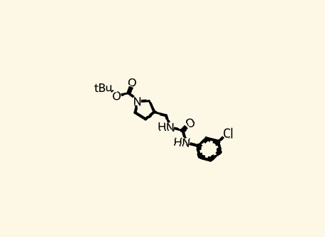 CC(C)(C)OC(=O)N1CCC(CNC(=O)Nc2cccc(Cl)c2)C1